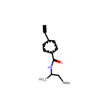 [C]#Cc1ccc(C(=O)NC(CNC)C(=O)O)cc1